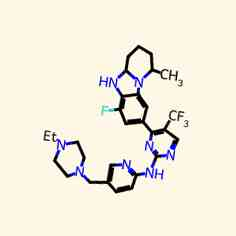 CCN1CCN(Cc2ccc(Nc3ncc(C(F)(F)F)c(-c4cc(F)c5c(c4)N4C(C)CCCC4N5)n3)nc2)CC1